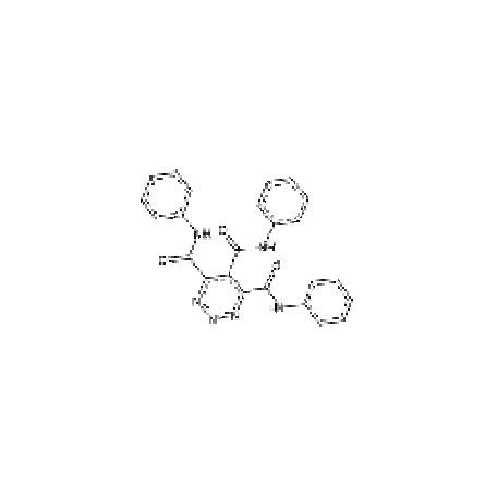 O=C(Nc1ccccc1)c1nnnc(C(=O)Nc2ccccc2)c1C(=O)Nc1ccccc1